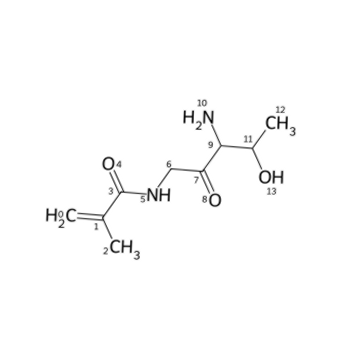 C=C(C)C(=O)NCC(=O)C(N)C(C)O